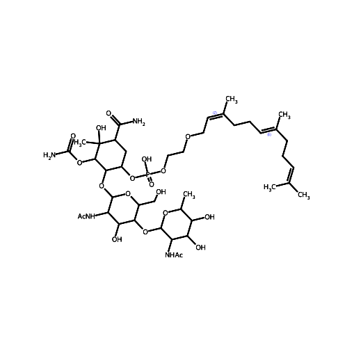 CC(=O)NC1C(OC2C(CO)OC(OC3C(OP(=O)(O)OCCOC/C=C(/C)CC/C=C(\C)CCC=C(C)C)CC(C(N)=O)C(C)(O)C3OC(N)=O)C(NC(C)=O)C2O)OC(C)C(O)C1O